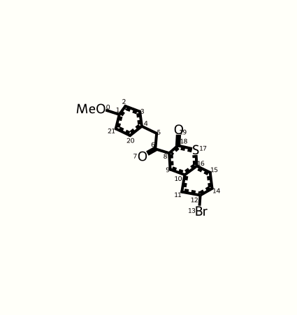 COc1ccc(CC(=O)c2cc3cc(Br)ccc3sc2=O)cc1